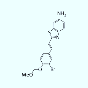 COCOc1ccc(/C=C/c2nc3ccc(N)cc3s2)cc1Br